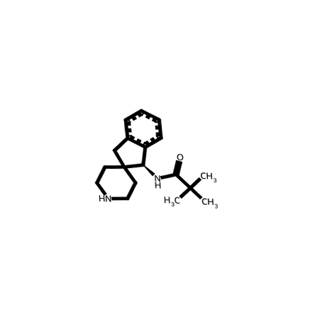 CC(C)(C)C(=O)N[C@@H]1c2ccccc2CC12CCNCC2